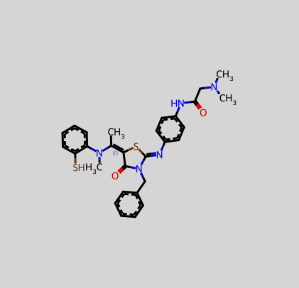 C/C(=C1\SC(=Nc2ccc(NC(=O)CN(C)C)cc2)N(Cc2ccccc2)C1=O)N(C)c1ccccc1S